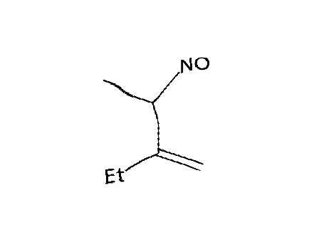 C=C(CC)C(C)N=O